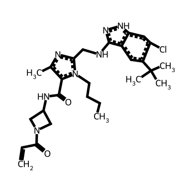 C=CC(=O)N1CC(NC(=O)c2c(C)nc(CNc3n[nH]c4cc(Cl)c(C(C)(C)C)cc34)n2CCCC)C1